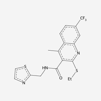 CCSc1nc2cc(C(F)(F)F)ccc2c(C)c1C(=O)NCc1nccs1